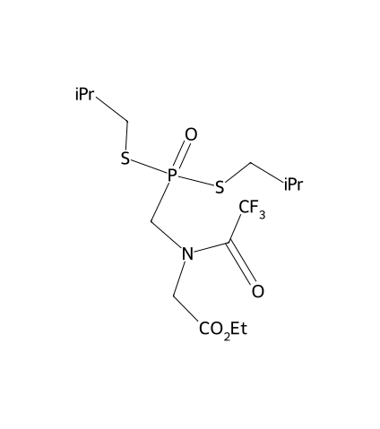 CCOC(=O)CN(CP(=O)(SCC(C)C)SCC(C)C)C(=O)C(F)(F)F